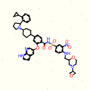 O=C(NS(=O)(=O)c1ccc(NCC2CN(C3COC3)CCO2)c([N+](=O)[O-])c1)c1ccc(C2CCC(N3CCCC3c3ccccc3C3CC3)CC2)cc1Oc1cnc2[nH]ccc2c1